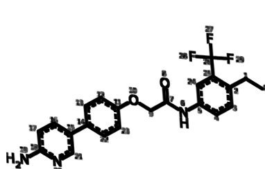 CCc1ccc(NC(=O)COc2ccc(-c3ccc(N)nc3)cc2)cc1C(F)(F)F